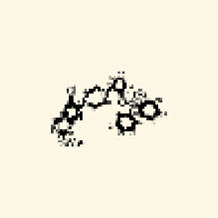 CSc1ncc2cc(Cl)c(N3CCN(C4COCC4O[Si](c4ccccc4)(c4ccccc4)C(C)(C)C)CC3)nc2n1